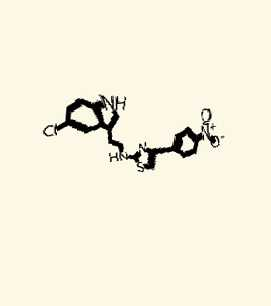 O=[N+]([O-])c1ccc(-c2csc(NCCc3c[nH]c4ccc(Cl)cc34)n2)cc1